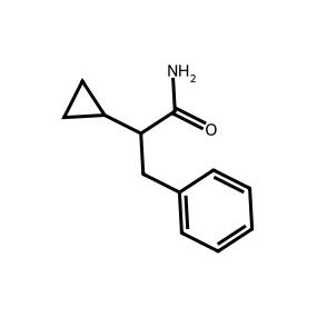 NC(=O)C(Cc1ccccc1)C1CC1